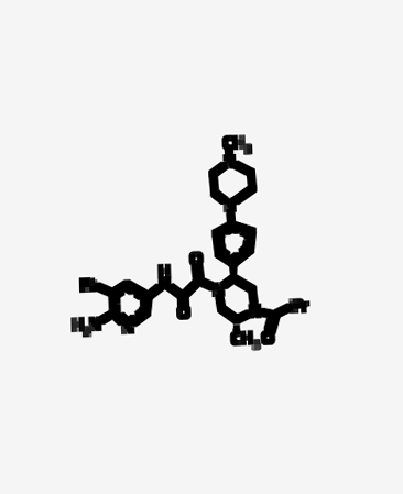 CCc1cc(NC(=O)C(=O)N2C[C@@H](C)N(C(=O)C(C)C)C[C@@H]2c2ccc(N3CCN(C)CC3)cc2)cnc1N